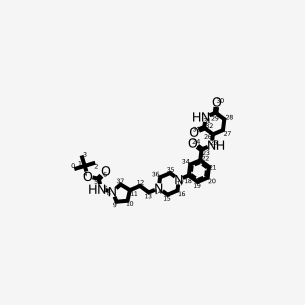 CC(C)(C)OC(=O)NN1CCC(CCN2CCN(c3cccc(C(=O)NC4CCC(=O)NC4=O)c3)CC2)C1